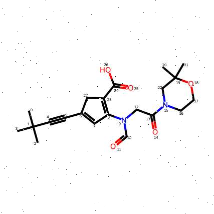 CC(C)(C)C#CC1=CC(N(C=O)CC(=O)N2CCOC(C)(C)C2)=C(C(=O)O)C1